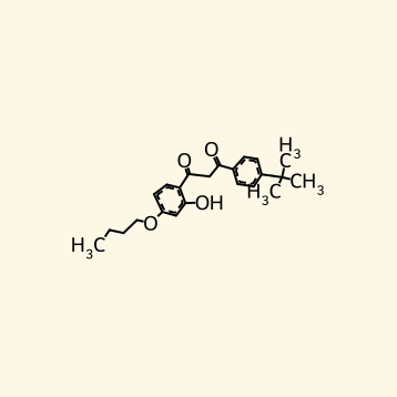 CCCCOc1ccc(C(=O)CC(=O)c2ccc(C(C)(C)C)cc2)c(O)c1